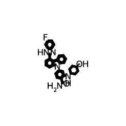 NC(=O)c1ccc(-n2c3ccccc3c3c(-c4nc5ccc(F)cc5[nH]4)cccc32)cc1N[C@H]1CC[C@H](O)CC1